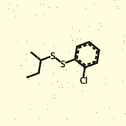 CCC(C)SSc1ccccc1Cl